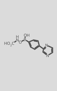 O=C(O)NOB(O)c1ccc(-c2cnccn2)cc1